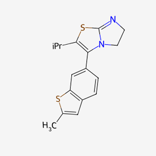 Cc1cc2ccc(C3=C(C(C)C)SC4=NCCN43)cc2s1